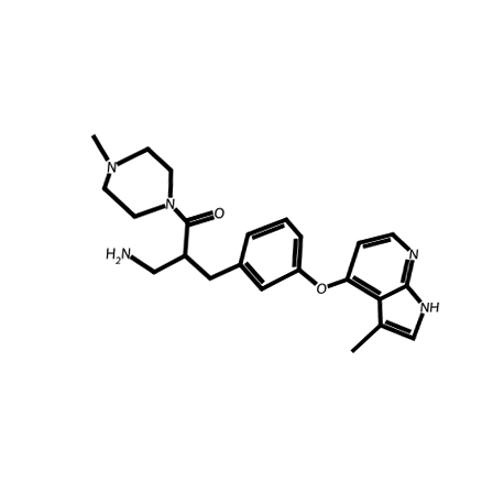 Cc1c[nH]c2nccc(Oc3cccc(CC(CN)C(=O)N4CCN(C)CC4)c3)c12